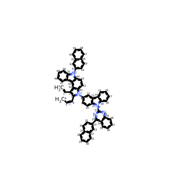 C=Cc1c(/C=C\C)n(-c2ccc3c(c2)c2ccccc2n3-c2nc(-c3ccc4ccccc4c3)c3ccccc3n2)c2ccc3c(c4ccccc4n3-c3ccc4ccccc4c3)c12